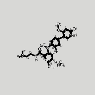 CCOc1cc(=O)[nH]cc1-c1ccc(N(C(C)=O)c2ccc(C(F)(F)F)cc2C(=O)NCCN(C)C)c(F)c1.Cl.O